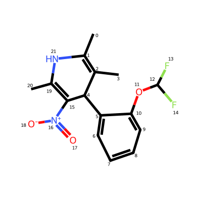 CC1=C(C)C(c2ccccc2OC(F)F)C([N+](=O)[O-])=C(C)N1